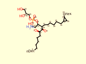 CCCCCCCCCCCCCCCC(=O)C(=O)C(CCCCCCC1CC1CCCCCC)C(CN)OP(=O)(O)OC[C@H](O)CO